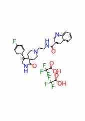 O=C(NCCN1CCC2(CC1)C(=O)NC[C@H]2c1ccc(F)cc1)c1cnc2ccccc2c1.O=C(O)C(F)(F)F.O=C(O)C(F)(F)F